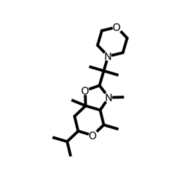 CC(C)C1CC2(C)OC(C(C)(C)N3CCOCC3)N(C)C2C(C)O1